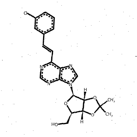 CC1(C)O[C@@H]2[C@H](O1)[C@@H](CO)O[C@H]2n1cnc2c(C=Cc3cccc(Cl)c3)ncnc21